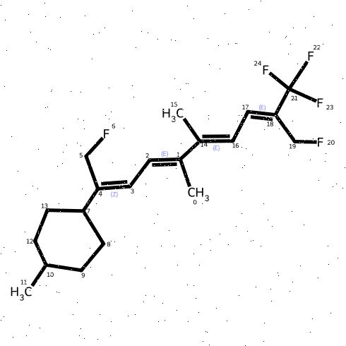 CC(=C\C=C(/CF)C1CCC(C)CC1)/C(C)=C/C=C(\CF)C(F)(F)F